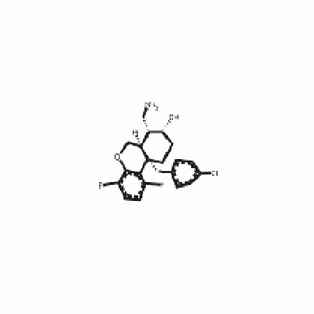 NC[C@@H]1[C@H](O)CC[C@@]2(Cc3ccc(Cl)cc3)c3c(F)ccc(F)c3OC[C@@H]12